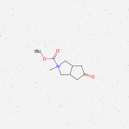 CC(C)(C)OC(=O)[N+]1(C)CC2CC(=O)CC2C1